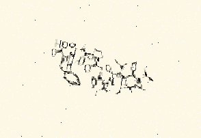 CCCC(C)(C)N(C)[C@H](C(=O)N[C@H](C(=O)N(C)[C@@H]([C@@H](C)CC)[C@@H](CC(=O)N1CCC[C@H]1[C@H](OC)[C@@H](C)C(=O)N[C@@H](Cc1ccccc1)C(=O)O)OC)C(C)C)C(C)C